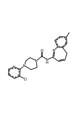 Cc1ccc2c(c1)CC=CC(NC(=O)N1CCN(c3ncccc3Cl)CC1)=N2